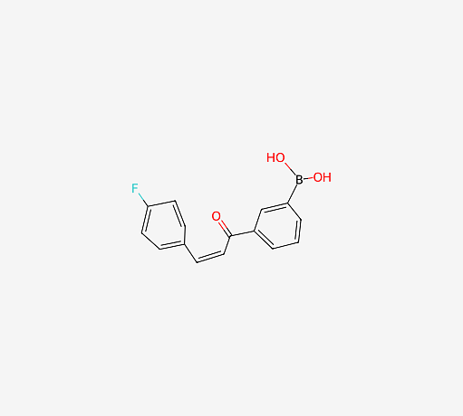 O=C(/C=C\c1ccc(F)cc1)c1cccc(B(O)O)c1